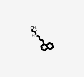 C=CCNC/C=C/c1cccc2ccccc12